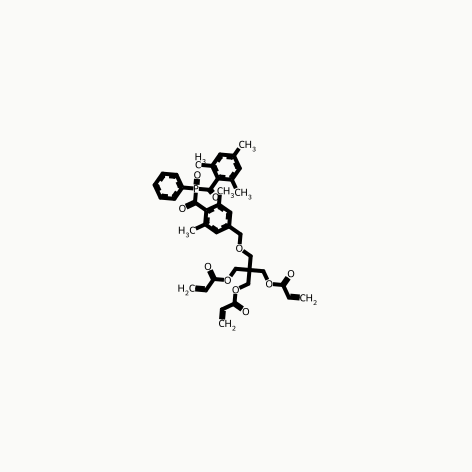 C=CC(=O)OCC(COCc1cc(C)c(C(=O)P(=O)(C(=O)c2c(C)cc(C)cc2C)c2ccccc2)c(C)c1)(COC(=O)C=C)COC(=O)C=C